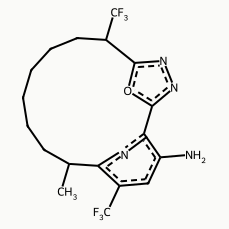 CC1CCCCCCC(C(F)(F)F)c2nnc(o2)-c2nc1c(C(F)(F)F)cc2N